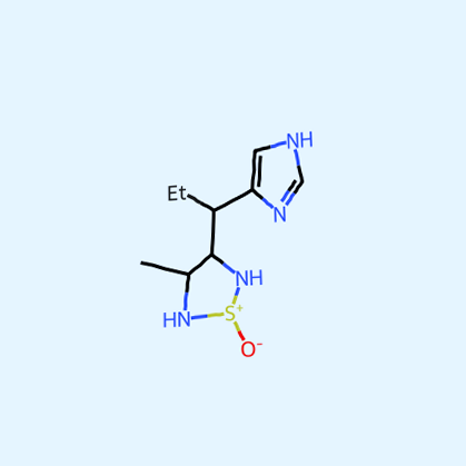 CCC(c1c[nH]cn1)C1N[S+]([O-])NC1C